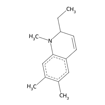 CCC1C=Cc2cc(C)c(C)cc2N1C